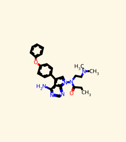 CCC(=O)N(CCN(C)C)n1cc(-c2ccc(Oc3ccccc3)cc2)c2c(N)ncnc21